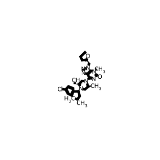 CC[C@@H]1CN(c2nc(=O)n(C)c3c2nnn3C[C@H]2CCCO2)[C@@H](C)CN1C(CC(C)C)c1ccc(Cl)cc1